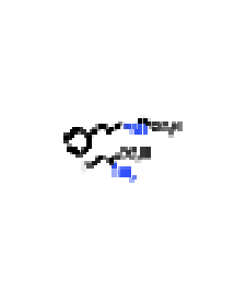 CC(C)CC(N)C(=O)O.O=C(O)CNCCCc1ccccc1